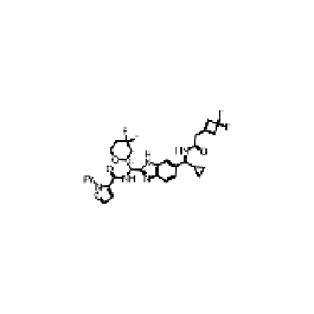 CC(C)n1nccc1C(=O)NC(c1nc2ccc(C(NC(=O)CC3CC(F)(F)C3)C3CC3)cc2[nH]1)[C@@H]1CC(F)(F)CCO1